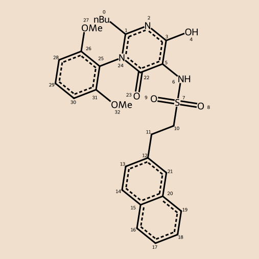 CCCCc1nc(O)c(NS(=O)(=O)CCc2ccc3ccccc3c2)c(=O)n1-c1c(OC)cccc1OC